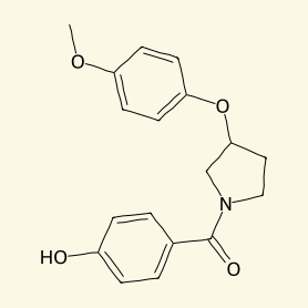 COc1ccc(OC2CCN(C(=O)c3ccc(O)cc3)C2)cc1